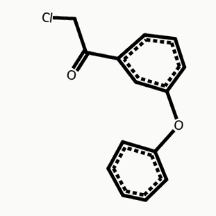 O=C(CCl)c1cccc(Oc2ccccc2)c1